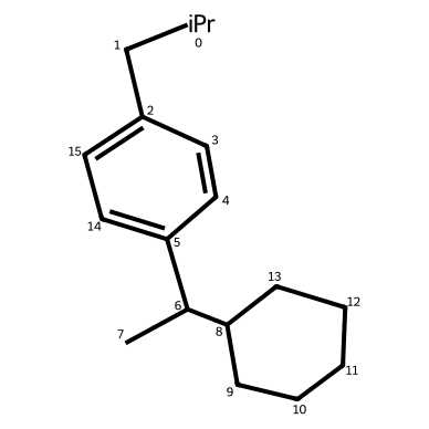 CC(C)Cc1ccc(C(C)C2CCCCC2)cc1